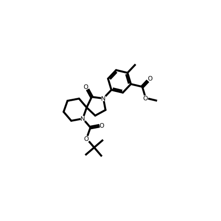 COC(=O)c1cc(N2CCC3(CCCCN3C(=O)OC(C)(C)C)C2=O)ccc1C